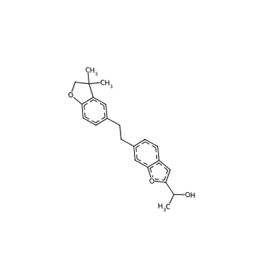 CC(O)c1cc2ccc(CCc3ccc4c(c3)C(C)(C)CO4)cc2o1